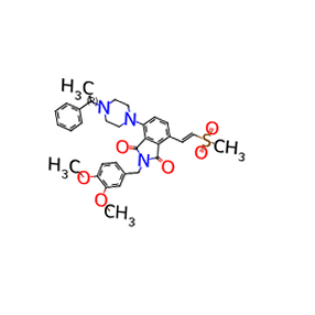 COc1ccc(CN2C(=O)c3c(C=CS(C)(=O)=O)ccc(N4CCN([C@H](C)c5ccccc5)CC4)c3C2=O)cc1OC